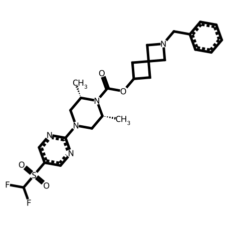 C[C@@H]1CN(c2ncc(S(=O)(=O)C(F)F)cn2)C[C@H](C)N1C(=O)OC1CC2(C1)CN(Cc1ccccc1)C2